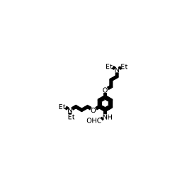 CCN(CC)CCCOc1ccc(NC=O)c(OCCCN(CC)CC)c1